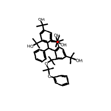 CC(C)(Oc1ccccc1)OC(C)(C)c1cc(C(C)(C)O)cc(C(C)(C)O)c1C(c1ccccc1)c1c(C(C)(C)O)cc(C(C)(C)O)cc1C(C)(C)O